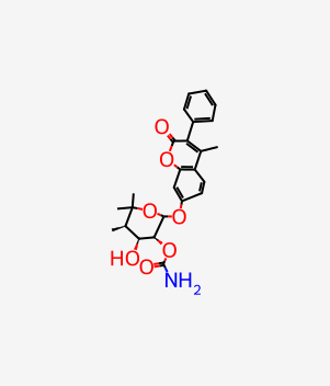 Cc1c(-c2ccccc2)c(=O)oc2cc(OC3OC(C)(C)[C@H](C)[C@H](O)[C@@H]3OC(N)=O)ccc12